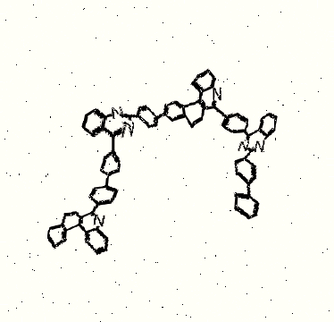 c1ccc(-c2ccc(-c3nc(-c4ccc(-c5nc6ccccc6c6c5ccc5cc(-c7ccc(-c8nc(-c9ccc(-c%10ccc(-c%11nc%12ccccc%12c%12c%11ccc%11ccccc%11%12)cc%10)cc9)c9ccccc9n8)cc7)ccc56)cc4)c4ccccc4n3)cc2)cc1